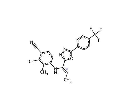 C/C=C(\Nc1ccc(C#N)c(Cl)c1C)c1nnc(-c2ccc(C(F)(F)F)cc2)o1